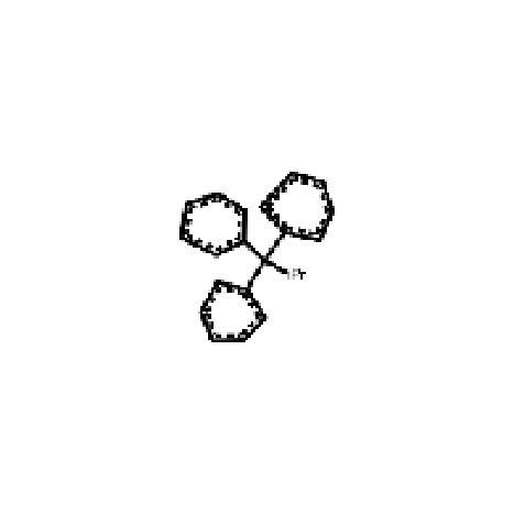 CC(C)C(c1ccccc1)(c1ccccc1)c1ccccc1